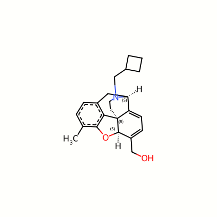 Cc1ccc2c3c1O[C@@H]1C(CO)=CC=C4[C@H](C2)N(CC2CCC2)CC[C@@]431